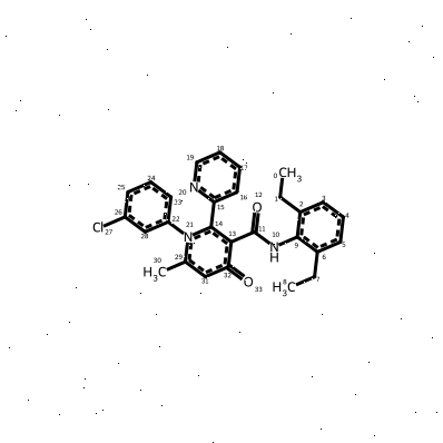 CCc1cccc(CC)c1NC(=O)c1c(-c2ccccn2)n(-c2cccc(Cl)c2)c(C)cc1=O